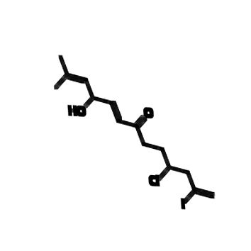 C=C(I)CC(Cl)CCC(=O)/C=C/C(O)C=C(C)C